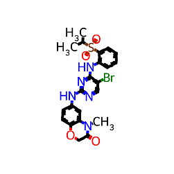 CC(C)S(=O)(=O)c1ccccc1Nc1nc(Nc2ccc3c(c2)N(C)C(=O)CO3)ncc1Br